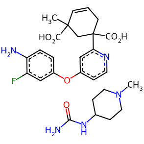 CC1(C(=O)O)C=CCC(C(=O)O)(c2cc(Oc3ccc(N)c(F)c3)ccn2)C1.CN1CCC(NC(N)=O)CC1